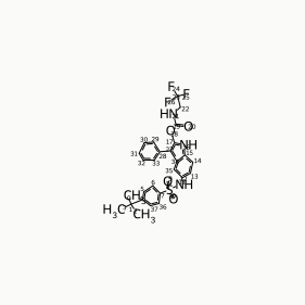 CC(C)(C)c1ccc(S(=O)(=O)Nc2ccc3[nH]c(OC(=O)NCC(F)(F)F)c(-c4ccccc4)c3c2)cc1